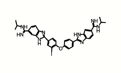 CC(C)NC(=N)c1ccc2nc(-c3ccc(Oc4ccc(-c5nc6ccc(C(=N)NC(C)C)cc6[nH]5)cc4I)cc3)[nH]c2c1